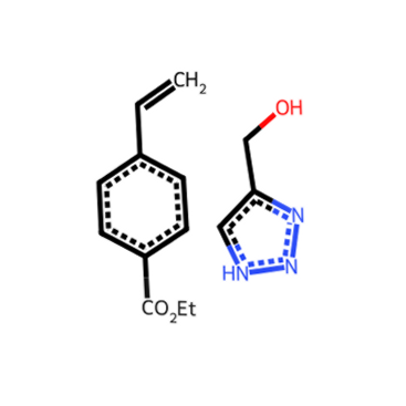 C=Cc1ccc(C(=O)OCC)cc1.OCc1c[nH]nn1